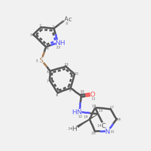 CC(=O)c1ccc(Sc2ccc(C(=O)N[C@H]3CN4CCC3CC4)cc2)[nH]1